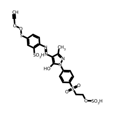 C#COOSc1ccc(N=Nc2c(C)nn(-c3ccc(S(=O)(=O)CCOS(=O)(=O)O)cc3)c2O)c(S(=O)(=O)O)c1